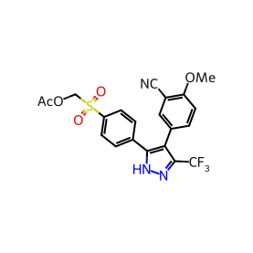 COc1ccc(-c2c(C(F)(F)F)n[nH]c2-c2ccc(S(=O)(=O)COC(C)=O)cc2)cc1C#N